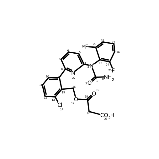 NC(=O)N(c1cccc(-c2cccc(Cl)c2COC(=O)CC(=O)O)n1)c1c(F)cccc1F